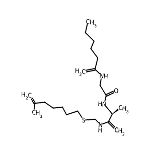 C=C(C)CCCCCSCNC(=C)[C@H](C)NC(=O)CNC(=C)CCCCC